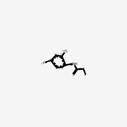 C=C(CC)Nc1ccc(F)cc1Cl